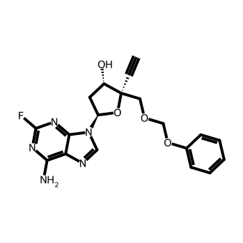 C#C[C@]1(COCOc2ccccc2)O[C@@H](n2cnc3c(N)nc(F)nc32)C[C@@H]1O